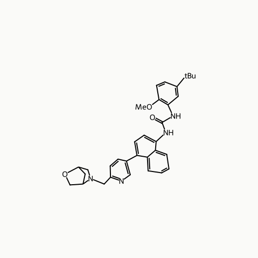 COc1ccc(C(C)(C)C)cc1NC(=O)Nc1ccc(-c2ccc(CN3CC4CC3CO4)nc2)c2ccccc12